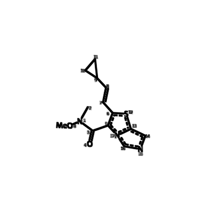 CON(C)C(=O)c1c(C=CC2CC2)sc2cncn12